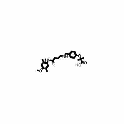 COc1cc(C)c(NC(=O)CCCNCc2ccc(OC(C)(C)C(=O)O)cc2)cc1C